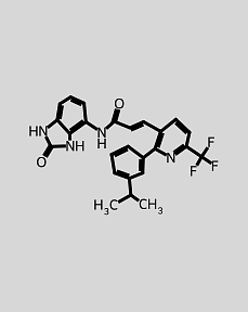 CC(C)c1cccc(-c2nc(C(F)(F)F)ccc2/C=C/C(=O)Nc2cccc3[nH]c(=O)[nH]c23)c1